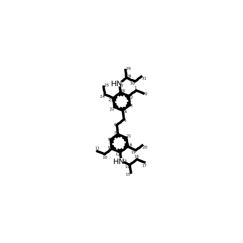 CCc1cc(CCc2cc(CC)c(NC(C)CC)c(CC)c2)cc(CC)c1NC(C)CC